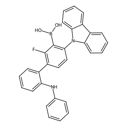 OB(O)c1c(-n2c3ccccc3c3ccccc32)ccc(-c2ccccc2Nc2ccccc2)c1F